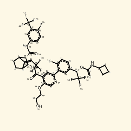 O=C(NC1CCC1)O[C@@H](c1ccc(F)c(-c2cc(C(=O)N[C@@H]3C4CCC(/C4=C/C(F)(F)F)[C@@H]3C(=O)Nc3ccc(F)c(C(F)(F)F)c3)c(OCCO)cn2)c1)C(F)(F)F